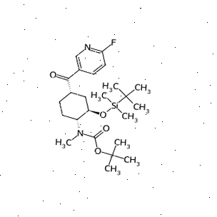 CN(C(=O)OC(C)(C)C)[C@@H]1CC[C@H](C(=O)c2ccc(F)nc2)C[C@H]1O[Si](C)(C)C(C)(C)C